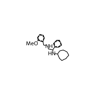 COc1ccccc1CNCC(NC1CCCCCCC1)c1ccccc1